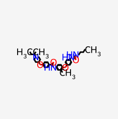 CCCCCNC(=O)Nc1ccc(Oc2ccc(NC(=O)c3ccc(OC4CCN(C(C)CC)CC4)cc3)cc2C)cc1